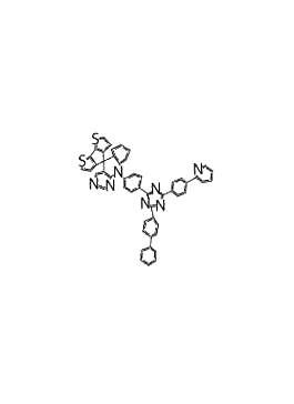 c1ccc(-c2ccc(-c3nc(-c4ccc(-c5ccccn5)cc4)nc(-c4ccc(N5c6ccccc6C6(c7cncnc75)c5ccsc5-c5sccc56)cc4)n3)cc2)cc1